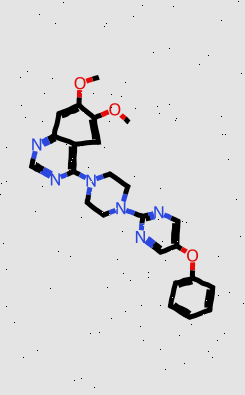 COc1cc2ncnc(N3CCN(c4ncc(Oc5ccccc5)cn4)CC3)c2cc1OC